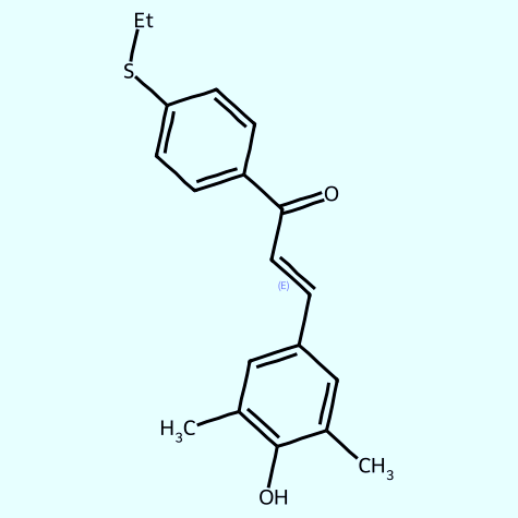 CCSc1ccc(C(=O)/C=C/c2cc(C)c(O)c(C)c2)cc1